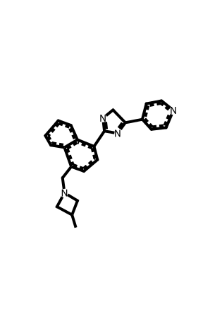 CC1CN(Cc2ccc(C3=NCC(c4ccncc4)=N3)c3ccccc23)C1